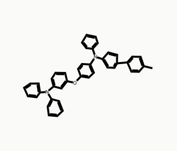 Cc1ccc(-c2ccc(N(c3ccccc3)c3ccc(Oc4cccc(N(c5ccccc5)c5ccccc5)c4)cc3)cc2)cc1